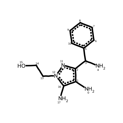 Nc1c(C(N)c2ccccc2)nn(CCO)c1N